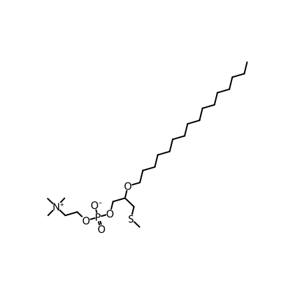 CCCCCCCCCCCCCCCCOC(COP(=O)([O-])OCC[N+](C)(C)C)CSC